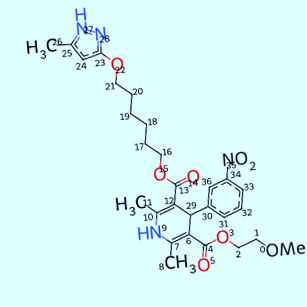 COCCOC(=O)C1=C(C)NC(C)=C(C(=O)OCCCCCCOc2cc(C)[nH]n2)C1c1cccc([N+](=O)[O-])c1